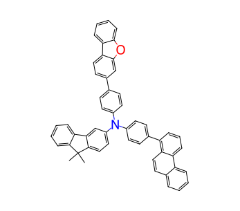 CC1(C)c2ccccc2-c2cc(N(c3ccc(-c4ccc5c(c4)oc4ccccc45)cc3)c3ccc(-c4cccc5c4ccc4ccccc45)cc3)ccc21